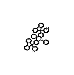 c1ccc(N2c3ccc(C4(c5cccnc5)c5ccccc5-c5ccccc54)cc3C3(CCCCC3)c3cc(C4(c5cccnc5)c5ccccc5-c5ccccc54)ccc32)cc1